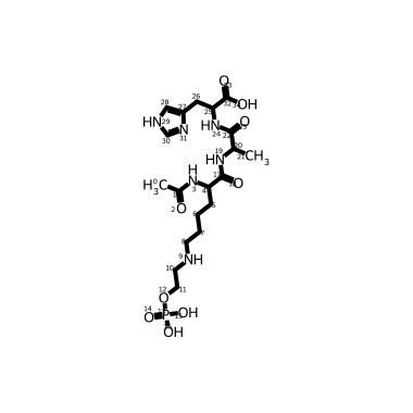 CC(=O)NC(CCCCNCCOP(=O)(O)O)C(=O)NC(C)C(=O)NC(Cc1c[nH]cn1)C(=O)O